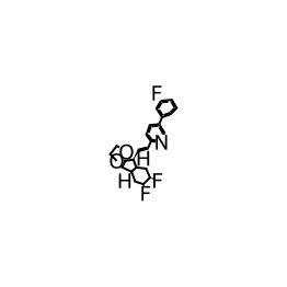 Fc1cccc(-c2ccc(/C=C/[C@H]3[C@@H]4C[C@H](F)[C@H](F)C[C@@H]4CC34OCCO4)nc2)c1